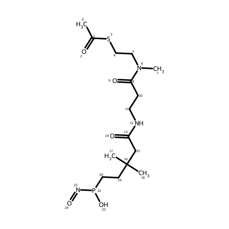 CC(=O)SCCN(C)C(=O)CCNC(=O)CC(C)(C)CCP(O)N=O